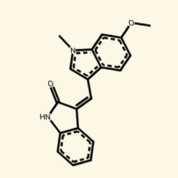 COc1ccc2c(C=C3C(=O)Nc4ccccc43)cn(C)c2c1